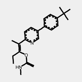 C=C(NC)O/C(CC)=C(/C)c1ccc(-c2ccc(C(C)(C)C)cc2)cn1